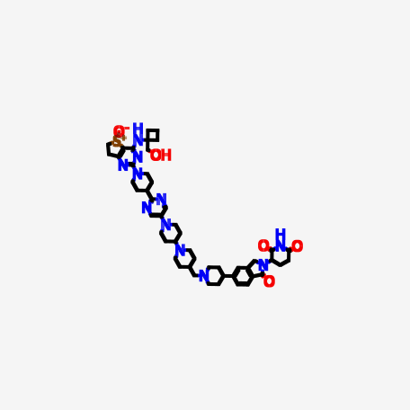 O=C1CCC(N2Cc3cc(C4CCN(CC5CCN(C6CCN(c7cnc(C8CCN(c9nc%10c(c(NC%11(CO)CCC%11)n9)[S@+]([O-])CC%10)CC8)nc7)CC6)CC5)CC4)ccc3C2=O)C(=O)N1